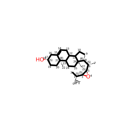 CC(C)[C@H](C)[C@@H]1O[C@H]1[C@@H](C)[C@H]1CCC2C3CC=C4C[C@@H](O)CC[C@]4(C)C3CC[C@@]21C